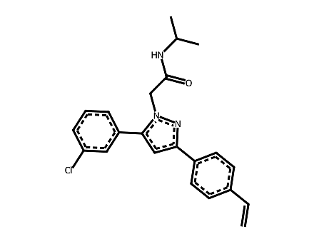 C=Cc1ccc(-c2cc(-c3cccc(Cl)c3)n(CC(=O)NC(C)C)n2)cc1